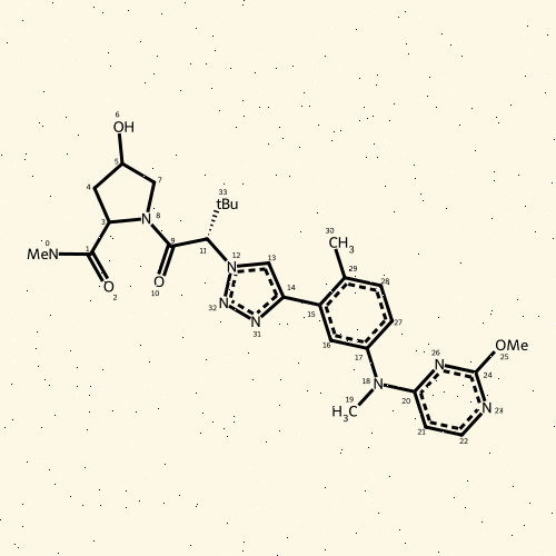 CNC(=O)C1CC(O)CN1C(=O)[C@@H](n1cc(-c2cc(N(C)c3ccnc(OC)n3)ccc2C)nn1)C(C)(C)C